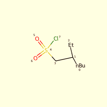 CCCCC(CC)CS(=O)(=O)Cl